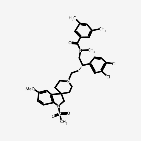 COc1ccc2c(c1)C1(CCN(CC[C@H](CN(C)C(=O)c3cc(C)cc(C)c3)c3ccc(Cl)c(Cl)c3)CC1)CN2S(C)(=O)=O